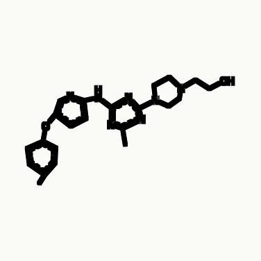 Cc1ccc(Oc2ccc(Nc3nc(C)nc(N4CCN(CCO)CC4)n3)nc2)cc1